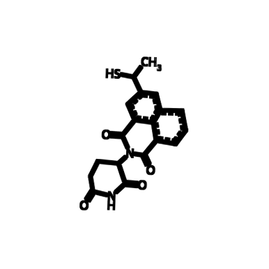 CC(S)c1cc2c3c(cccc3c1)C(=O)N(C1CCC(=O)NC1=O)C2=O